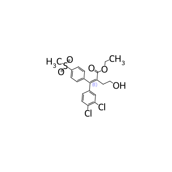 CCOC(=O)/C(CCO)=C(\c1ccc(S(C)(=O)=O)cc1)c1ccc(Cl)c(Cl)c1